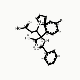 O=C(O)CC([SH]1C=CC=C1)C(NC(=O)c1ccccc1)(C(=O)O)c1ccc(F)cc1